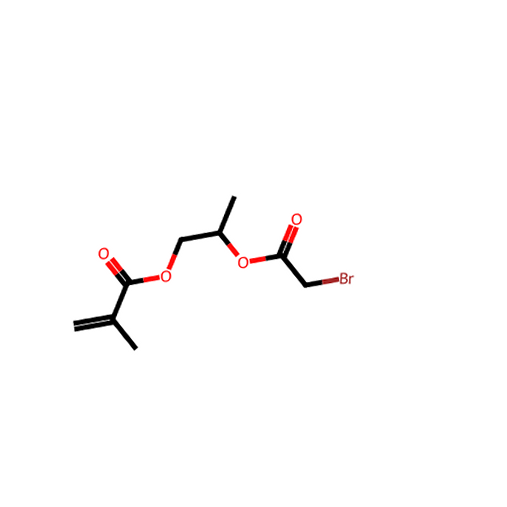 C=C(C)C(=O)OCC(C)OC(=O)CBr